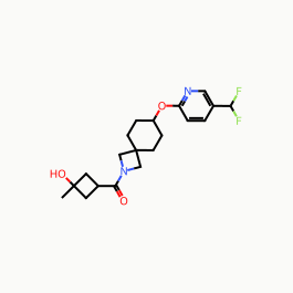 CC1(O)CC(C(=O)N2CC3(CCC(Oc4ccc(C(F)F)cn4)CC3)C2)C1